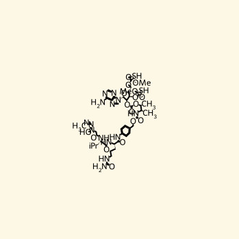 C/N=N\N(O)CC(=O)N[C@H](C(=O)N[C@@H](CCCNC(N)=O)C(=O)Nc1ccc(COC(=O)N[C@H](C)[C@@H](C)OC(=O)O[C@@H]2[C@H](OP(=O)(S)OC)[C@@H](CO[P@@](=O)(S)OC)O[C@H]2n2cnc3c(N)ncnc32)cc1)C(C)C